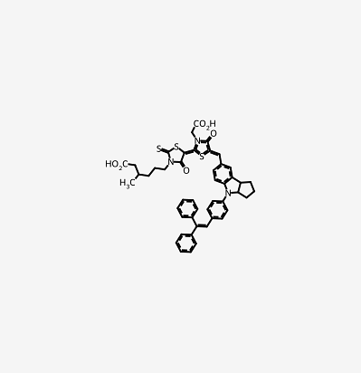 CC(CCCN1C(=O)/C(=c2\s/c(=C\c3ccc4c(c3)C3CCCC3N4c3ccc(C=C(c4ccccc4)c4ccccc4)cc3)c(=O)n2CC(=O)O)SC1=S)CC(=O)O